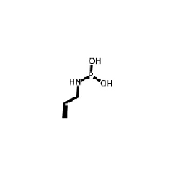 C=CCNP(O)O